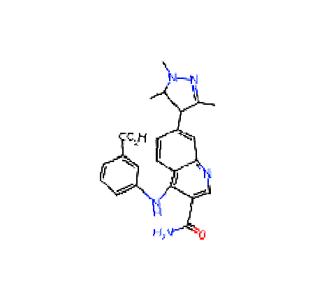 CC1=NN(C)C(C)C1c1ccc2c(Nc3cccc(C(=O)O)c3)c(C(N)=O)cnc2c1